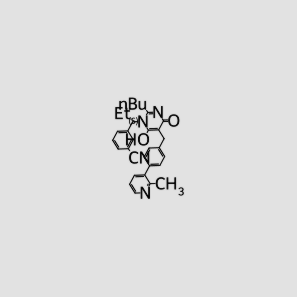 CCCCc1nc(=O)c(Cc2ccc(-c3cccnc3C)cc2)c(O)n1[C@@H](CC)c1cccc(C#N)c1